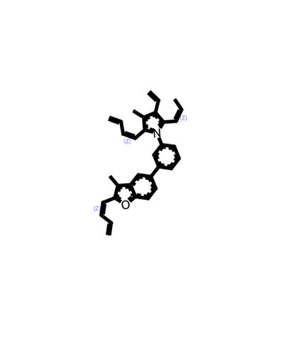 C=C/C=C\c1oc2ccc(-c3cccc(-n4c(/C=C\C=C)c(C)c(C=C)c4/C=C\C)c3)cc2c1C